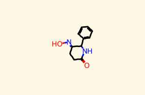 O=C1CCC(=NO)C(c2ccccc2)N1